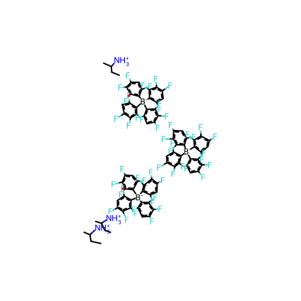 CCC(C)[NH3+].CCC(C)[NH3+].CCC(C)[NH3+].Fc1cc(F)c([B-](c2c(F)cc(F)c(F)c2F)(c2c(F)cc(F)c(F)c2F)c2c(F)cc(F)c(F)c2F)c(F)c1F.Fc1cc(F)c([B-](c2c(F)cc(F)c(F)c2F)(c2c(F)cc(F)c(F)c2F)c2c(F)cc(F)c(F)c2F)c(F)c1F.Fc1cc(F)c([B-](c2c(F)cc(F)c(F)c2F)(c2c(F)cc(F)c(F)c2F)c2c(F)cc(F)c(F)c2F)c(F)c1F